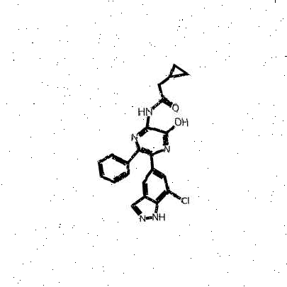 O=C(CC1CC1)Nc1nc(-c2ccccc2)c(-c2cc(Cl)c3[nH]ncc3c2)nc1O